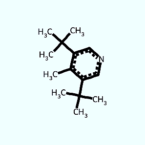 Cc1c(C(C)(C)C)cncc1C(C)(C)C